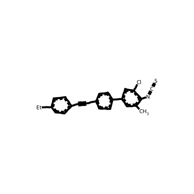 CCc1ccc(C#Cc2ccc(-c3cc(C)c(N=C=S)c(Cl)c3)cc2)cc1